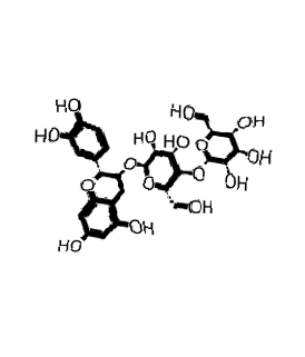 OC[C@@H]1O[C@@H](O[C@@H]2[C@@H](O)[C@H](O)[C@H](O[C@H]3Cc4c(O)cc(O)cc4O[C@@H]3c3ccc(O)c(O)c3)O[C@H]2CO)[C@@H](O)[C@H](O)[C@H]1O